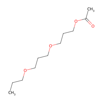 CCCOCCCOCCCOC(C)=O